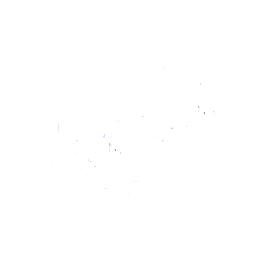 C=C(O)/C=C(\N=C(/C)SC(F)(F)c1c(Cl)cncc1Cl)C(F)(F)F